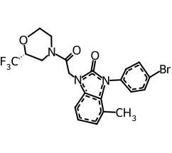 Cc1cccc2c1n(-c1ccc(Br)cc1)c(=O)n2CC(=O)N1CCO[C@@H](C(F)(F)F)C1